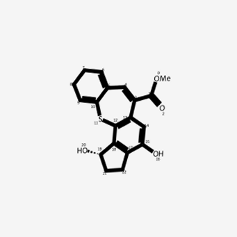 COC(=O)C1=CC2=CCCC=C2Sc2c1cc(O)c1c2[C@@H](O)CC1